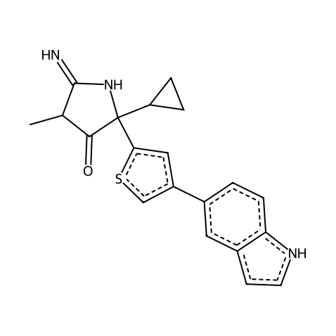 CC1C(=N)NC(c2cc(-c3ccc4[nH]ccc4c3)cs2)(C2CC2)C1=O